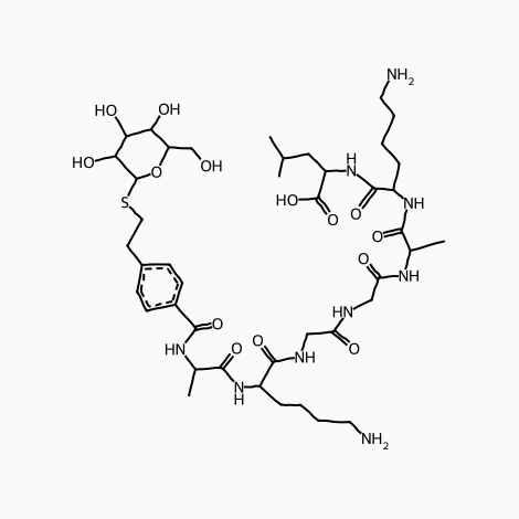 CC(C)CC(NC(=O)C(CCCCN)NC(=O)C(C)NC(=O)CNC(=O)CNC(=O)C(CCCCN)NC(=O)C(C)NC(=O)c1ccc(CCSC2OC(CO)C(O)C(O)C2O)cc1)C(=O)O